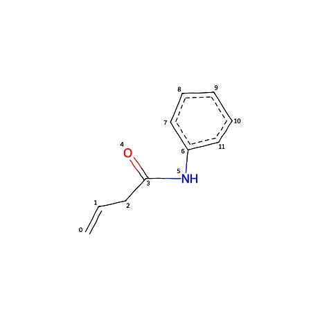 C=CCC(=O)Nc1ccccc1